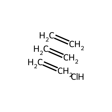 C=C.C=C.C=C.Cl